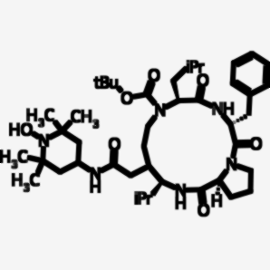 CC(C)C[C@H]1C(=O)N[C@H](Cc2ccccc2)C(=O)N2CCC[C@H]2C(=O)N[C@@H](C(C)C)C(CC(=O)NC2CC(C)(C)N(O)C(C)(C)C2)CCN1C(=O)OC(C)(C)C